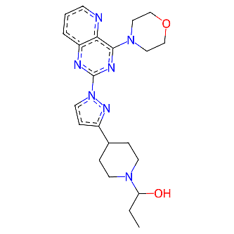 CCC(O)N1CCC(c2ccn(-c3nc(N4CCOCC4)c4ncccc4n3)n2)CC1